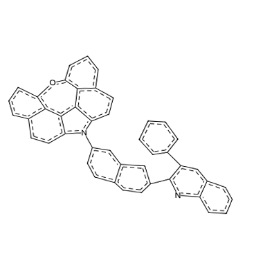 c1ccc(-c2cc3ccccc3nc2-c2ccc3ccc(-n4c5ccc6cccc7oc8cccc9ccc4c(c98)c5c67)cc3c2)cc1